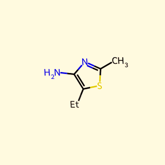 CCc1sc(C)nc1N